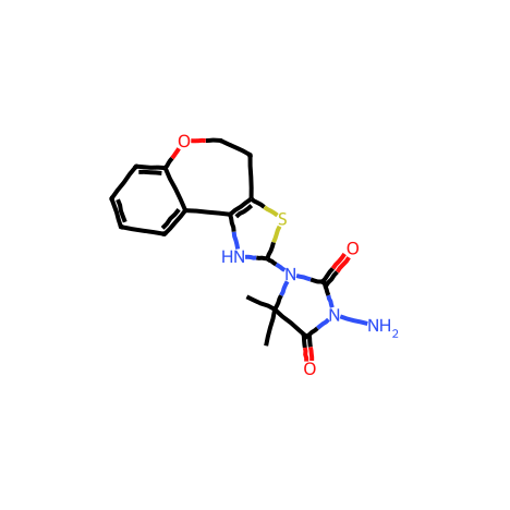 CC1(C)C(=O)N(N)C(=O)N1C1NC2=C(CCOc3ccccc32)S1